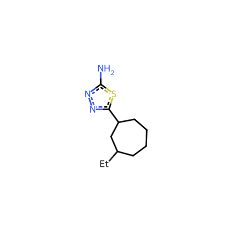 CCC1CCCCC(c2nnc(N)s2)C1